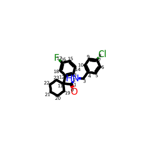 O=C(NCc1ccc(Cl)cc1)C1(c2cccc(F)c2)CCCCC1